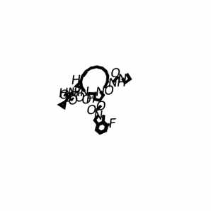 O=C1N[C@]2(C(=O)NS(=O)(=O)C3CC3)C[C@H]2/C=C\CCCCC[C@H](NC(=O)N2CCC2)C(=O)N2C[C@H](OC(=O)N3Cc4cccc(F)c4C3)C[C@@H]12